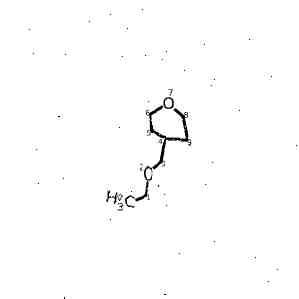 CCOCC1CCOCC1